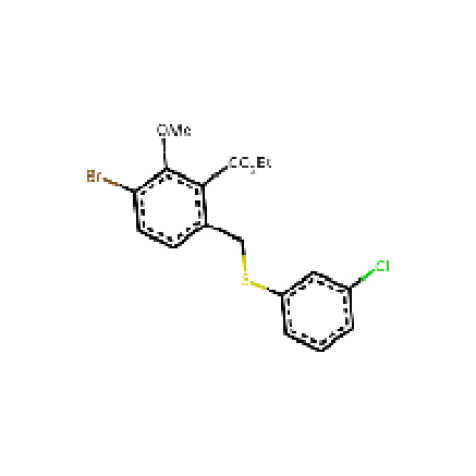 CCOC(=O)c1c(CSc2cccc(Cl)c2)ccc(Br)c1OC